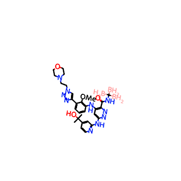 BC(B)(B)NC(=O)c1nnc(Nc2cc(C(C)(C)O)ccn2)cc1Nc1cccc(-c2cn(CCN3CCOCC3)nn2)c1OC